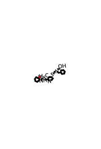 Cc1c(SCCN(CCO)Cc2ccccc2)ccnc1CSc1nc2ccccc2[nH]1